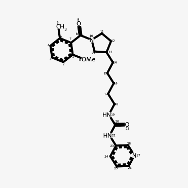 COc1cccc(C)c1C(=O)N1CCC(CCCCCNC(=O)Nc2cccnc2)C1